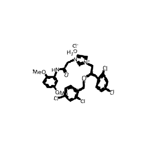 COc1ccc(OC)c(NC(=O)Cn2cc[n+](CC(OCc3ccc(Cl)cc3Cl)c3ccc(Cl)cc3Cl)c2)c1.O.[Cl-]